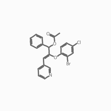 CC(=O)OC(C(=Cc1cccnc1)Oc1ccc(Cl)cc1Br)c1ccccc1